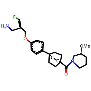 CO[C@H]1CCCN(C(=O)C23CCC(c4ccc(OC/C(=C/F)CN)cc4)(CC2)CC3)C1